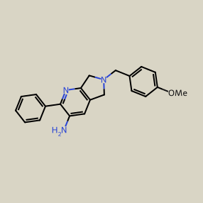 COc1ccc(CN2Cc3cc(N)c(-c4ccccc4)nc3C2)cc1